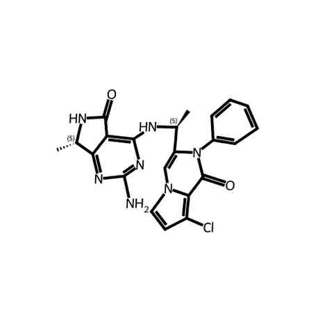 C[C@@H]1NC(=O)c2c(N[C@@H](C)c3cn4ccc(Cl)c4c(=O)n3-c3ccccc3)nc(N)nc21